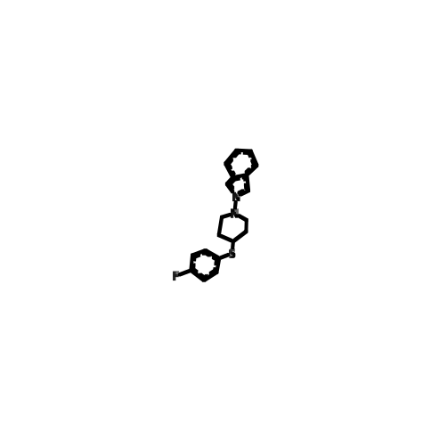 Fc1ccc(SC2CCN(n3cc4ccccc4c3)CC2)cc1